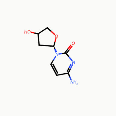 Nc1ccn([C@H]2CC(O)CO2)c(=O)n1